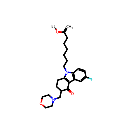 C=C(CCCCCCn1c2c(c3cc(F)ccc31)C(=O)C(CN1CCOCC1)CC2)OCC